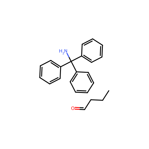 CCCC=O.NC(c1ccccc1)(c1ccccc1)c1ccccc1